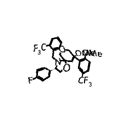 COc1ccc(C(F)(F)F)cc1[C@@]1(OC)COCC2(C1)OC[C@H](c1ccc(F)cc1)N2Cc1ccccc1C(F)(F)F